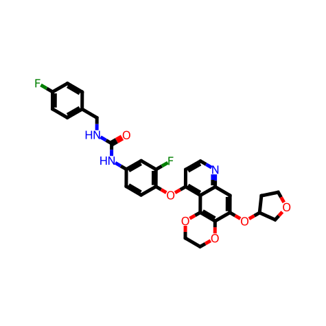 O=C(NCc1ccc(F)cc1)Nc1ccc(Oc2ccnc3cc(OC4CCOC4)c4c(c23)OCCO4)c(F)c1